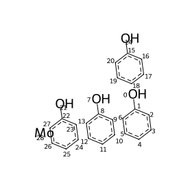 Oc1ccccc1.Oc1ccccc1.Oc1ccccc1.Oc1ccccc1.[Mo]